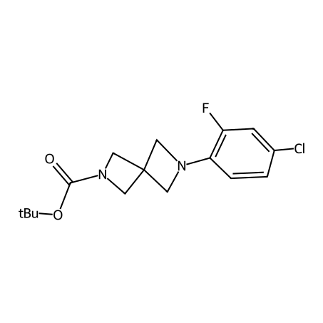 CC(C)(C)OC(=O)N1CC2(C1)CN(c1ccc(Cl)cc1F)C2